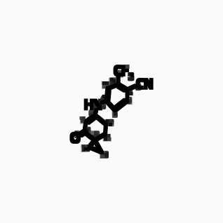 N#Cc1ccc(NC2=CC(=O)C3(CC2)CC3)cc1C(F)(F)F